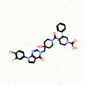 O=C(O)N1CC[C@@H](C(=O)N2CCC(O)(Cn3cnc4c(ccn4-c4ccc(Cl)c(F)c4)c3=O)CC2)[C@H](c2ccccc2)C1